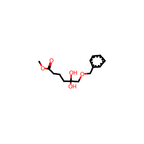 COC(=O)CCCC(O)(O)COCc1ccccc1